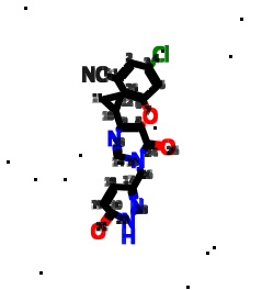 N#Cc1cc(Cl)cc(Oc2c(C3CC3)ncn(Cc3ccc(=O)[nH]n3)c2=O)c1